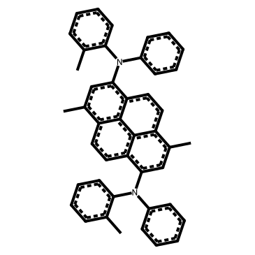 Cc1ccccc1N(c1ccccc1)c1cc(C)c2ccc3c(N(c4ccccc4)c4ccccc4C)cc(C)c4ccc1c2c43